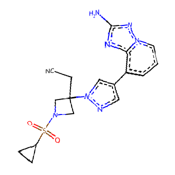 N#CCC1(n2cc(-c3cccn4nc(N)nc34)cn2)CN(S(=O)(=O)C2CC2)C1